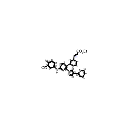 CCOC(=O)/C=C/c1cccc(-c2cnc(Nc3ccc(F)c(Cl)c3)nc2-n2cc(-c3ccccn3)cn2)c1